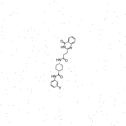 O=C(CCc1nc2ccccc2c(=O)[nH]1)N[C@H]1CC[C@H](C(=O)Nc2cccc(F)c2)CC1